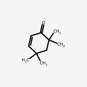 CC1(C)C=CC(=O)C(C)(C)C1